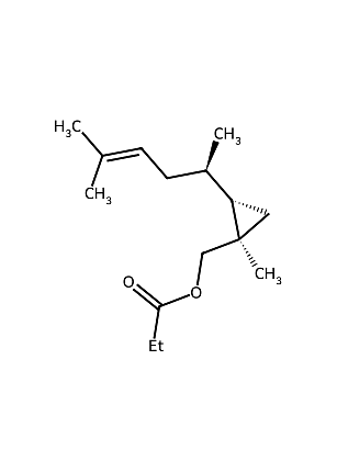 CCC(=O)OC[C@]1(C)C[C@H]1[C@H](C)CC=C(C)C